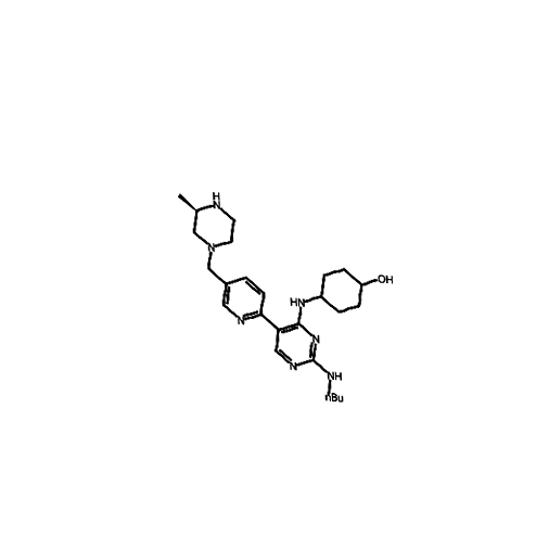 CCCCNc1ncc(-c2ccc(CN3CCN[C@H](C)C3)cn2)c(NC2CCC(O)CC2)n1